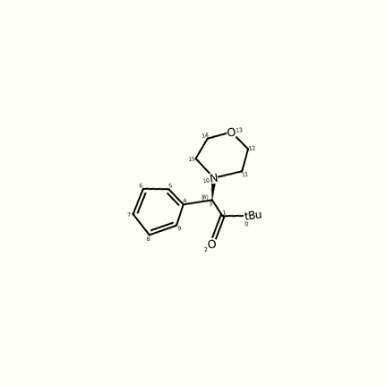 CC(C)(C)C(=O)[C@@H](c1ccccc1)N1CCOCC1